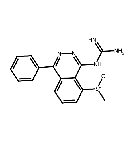 C[S+]([O-])c1cccc2c(-c3ccccc3)nnc(NC(=N)N)c12